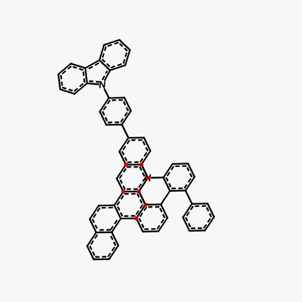 c1ccc(-c2ccccc2-c2c(-c3ccccc3)cccc2N(c2ccc(-c3ccc(-n4c5ccccc5c5ccccc54)cc3)cc2)c2ccc3c(ccc4ccccc43)c2)cc1